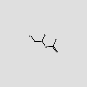 O=C(Cl)OC(Cl)CCl